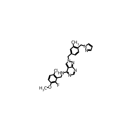 COc1ccc(Cl)c(CNc2ncnc3nn(Cc4ccc(Cn5cccn5)c(C)c4)cc23)c1F